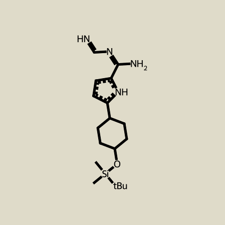 CC(C)(C)[Si](C)(C)OC1CCC(c2ccc(/C(N)=N\C=N)[nH]2)CC1